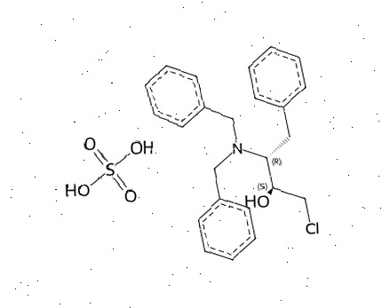 O=S(=O)(O)O.O[C@H](CCl)[C@@H](Cc1ccccc1)N(Cc1ccccc1)Cc1ccccc1